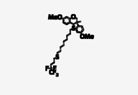 COc1ccc(C2(C)COc3cc(OC)ccc3C2SCCCCCCCCCSCCCC(F)(F)C(F)(F)F)cc1